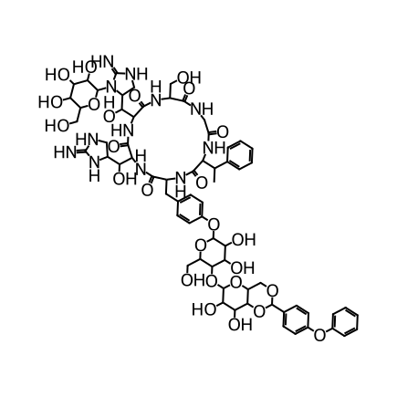 CC(c1ccccc1)C1NC(=O)CNC(=O)C(CO)NC(=O)C(C(O)C2CNC(=N)N2C2OC(CO)C(O)C(O)C2O)NC(=O)C(C(O)C2CNC(=N)N2)NC(=O)C(Cc2ccc(OC3OC(CO)C(OC4OC5COC(c6ccc(Oc7ccccc7)cc6)OC5C(O)C4O)C(O)C3O)cc2)NC1=O